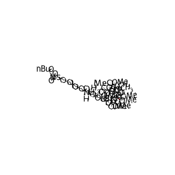 CCCCC(=O)CCCN1C(=O)CC(SCCOCCOCCOCCOCC(=O)NCCOCCOCCOCCO[C@H]2[C@H](OC)[C@@H](OC)[C@@H](O[C@H]3[C@H](OC)[C@@H](OC)[C@H](O[C@H]4[C@H](C)[C@@H](C)[C@@H](O[C@H]5[C@H](OC)[C@@H](OC)[C@H](O[C@H]6[C@H](C)[C@@H](C)[C@@H](OC)O[C@@H]6CC)O[C@H]5C)O[C@@H]4CC)O[C@@H]3C)O[C@@H]2CC)C1=O